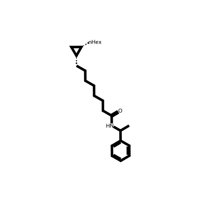 CCCCCC[C@H]1C[C@H]1CCCCCCCC(=O)NC(C)c1ccccc1